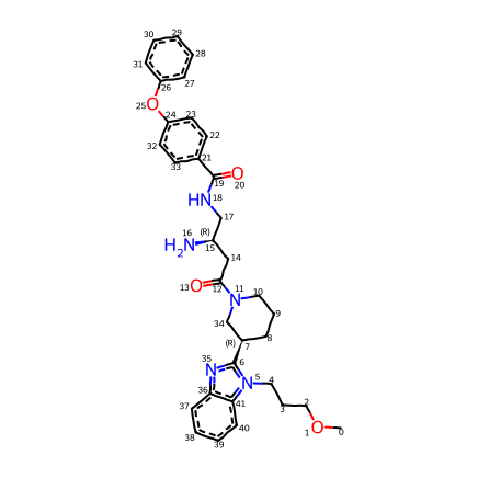 COCCCn1c([C@@H]2CCCN(C(=O)C[C@@H](N)CNC(=O)c3ccc(Oc4ccccc4)cc3)C2)nc2ccccc21